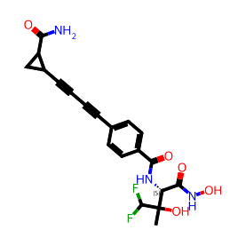 CC(O)(C(F)F)[C@H](NC(=O)c1ccc(C#CC#CC2CC2C(N)=O)cc1)C(=O)NO